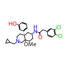 CO[C@]12CC[C@H](NC(=O)Cc3ccc(Cl)c(Cl)c3)C[C@]1(c1cccc(O)c1)CCN(CC1CC1)C2